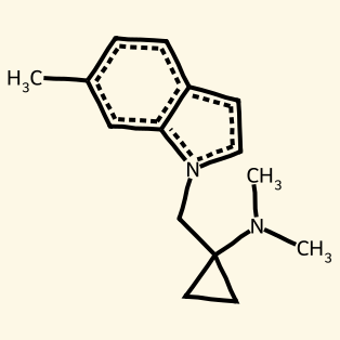 Cc1ccc2ccn(CC3(N(C)C)CC3)c2c1